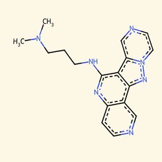 CN(C)CCCNc1nc2ccncc2c2nn3ccncc3c12